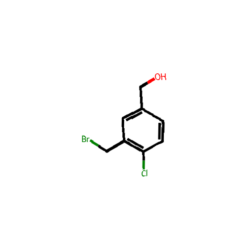 OCc1ccc(Cl)c(CBr)c1